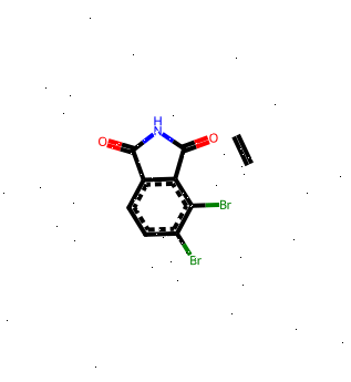 C=C.O=C1NC(=O)c2c1ccc(Br)c2Br